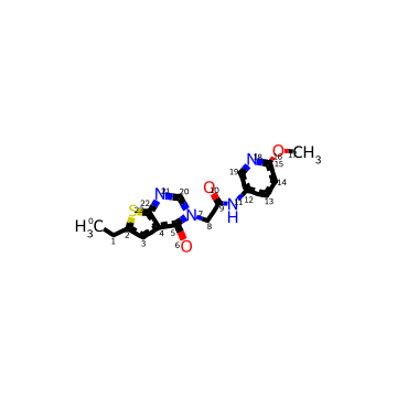 CCc1cc2c(=O)n(CC(=O)Nc3ccc(OC)nc3)cnc2s1